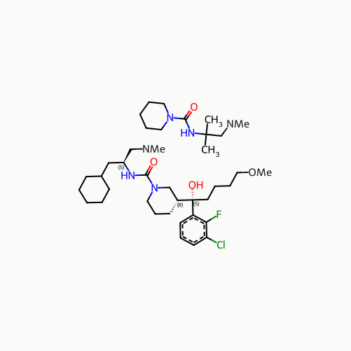 CNCC(C)(C)NC(=O)N1CCCCC1.CNC[C@H](CC1CCCCC1)NC(=O)N1CCC[C@@H]([C@@](O)(CCCCOC)c2cccc(Cl)c2F)C1